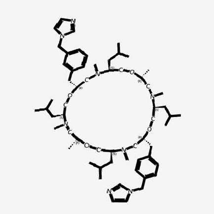 CC(C)C[C@H]1CO[C@H](C)CN(C)[C@@H](CC(C)C)CO[C@H](Cc2ccc(Cn3ccnc3)cc2)CN(C)[C@@H](CC(C)C)CO[C@H](C)CN(C)[C@@H](CC(C)C)CO[C@H](Cc2cccc(Cn3ccnc3)c2)CN1C